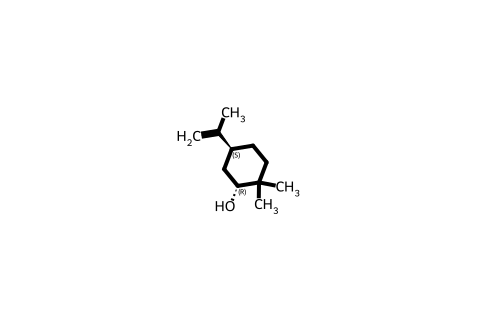 C=C(C)[C@H]1CCC(C)(C)[C@H](O)C1